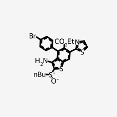 CCCC[S+]([O-])c1sc2cc(-c3nccs3)c(C(=O)OCC)c(-c3ccc(Br)cc3)c2c1N